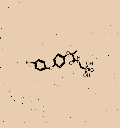 CC(Oc1ccc(Oc2ccc(Br)cc2)cc1)C(=O)NCP(=O)(O)O